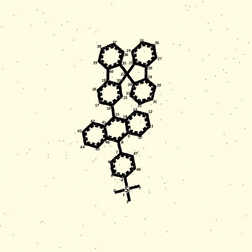 C[Si](C)(C)c1ccc(-c2c3ccccc3c(-c3ccc4c(c3)C3(c5ccccc5-c5ccccc53)c3ccccc3-4)c3ccccc23)cc1